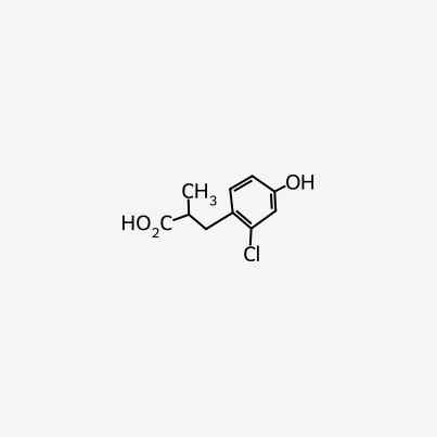 CC(Cc1ccc(O)cc1Cl)C(=O)O